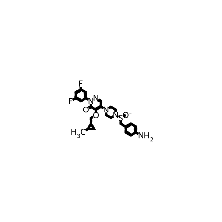 CC1CC1COc1c(N2CCN([S+]([O-])Cc3ccc(N)cc3)CC2)cnn(-c2cc(F)cc(F)c2)c1=O